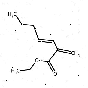 C=C(C=CCCC)C(=O)OCC